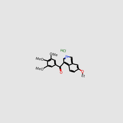 CCOc1ccc2c(C(=O)c3cc(OC)c(OC)c(OC)c3)cncc2c1.Cl